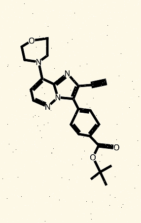 C#Cc1nc2c(N3CCOCC3)ccnn2c1-c1ccc(C(=O)OC(C)(C)C)cc1